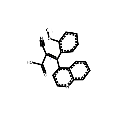 COc1ccccc1/C(=C(\C#N)C(=O)O)c1ccnc2ccccc12